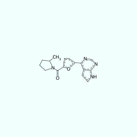 CC1CCCN1C(=O)c1ccc(-c2ncnc3[nH]ccc23)o1